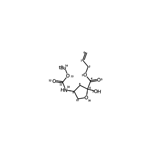 C=CCOC(=O)C1(O)CC(NC(=O)OC(C)(C)C)CO1